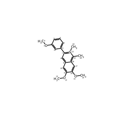 COc1cccc(-c2cc3cc(OC)c(OC)cc3c(C)[si]2C)c1